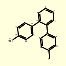 Cc1ccc(-c2ccccc2-c2ccc(O)cc2)cc1